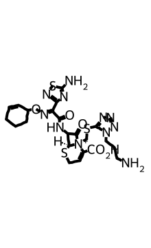 NCCCn1nnnc1SC[N+]12C(=O)C(NC(=O)C(=NOC3C=CCCC3)c3nsc(N)n3)[C@@H]1SCC=C2C(=O)O